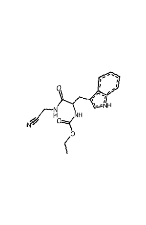 CCOC(=O)NC(Cc1c[nH]c2ccccc12)C(=O)NCC#N